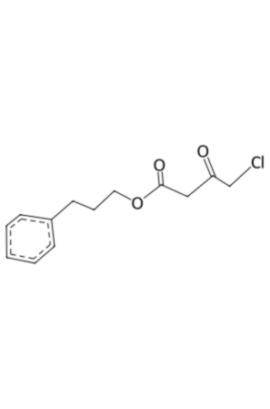 O=C(CCl)CC(=O)OCCCc1ccccc1